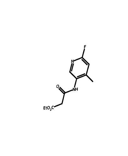 CCOC(=O)CC(=O)Nc1cnc(F)cc1C